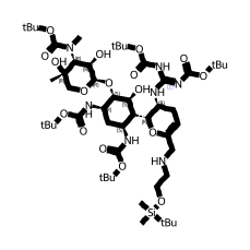 CN(C(=O)OC(C)(C)C)[C@@H]1[C@@H](O)[C@@H](O[C@H]2[C@H](NC(=O)OC(C)(C)C)C[C@H](NC(=O)OC(C)(C)C)C([C@H]3OC(CNCCO[Si](C)(C)C(C)(C)C)=CC[C@H]3N/C(=N/C(=O)OC(C)(C)C)NC(=O)OC(C)(C)C)[C@@H]2O)OC[C@]1(C)O